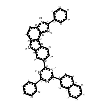 c1ccc(-c2nc(-c3ccc4ccccc4c3)nc(-c3ccc4c(c3)oc3ccc5sc(-c6ccccc6)nc5c34)n2)cc1